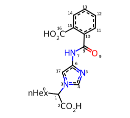 CCCCCCC(C(=O)O)n1cnc(NC(=O)c2ccccc2C(=O)O)c1